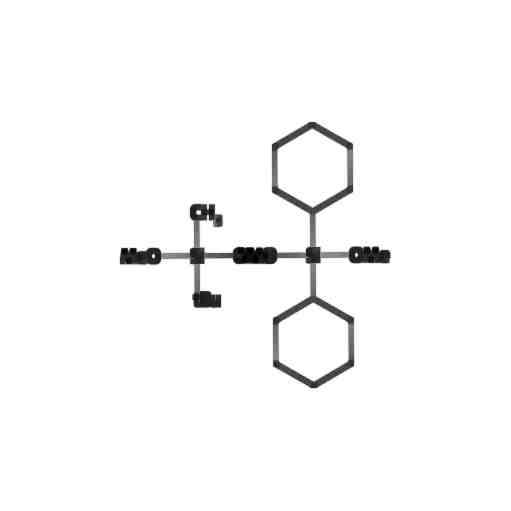 CO[Si](C)(OC)C(C)(C)C.CO[Si](OC)(C1CCCCC1)C1CCCCC1